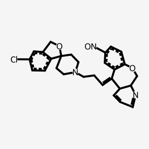 O=Nc1ccc2c(c1)C(=CCCN1CCC3(CC1)OCc1cc(Cl)ccc13)C1C=CC=NC1CO2